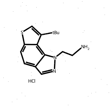 CC(C)(C)c1csc2ccc3cnn(CCN)c3c12.Cl